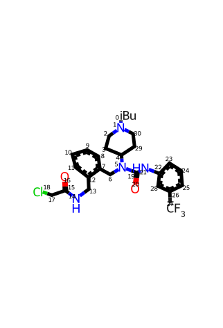 CCC(C)N1CCC(N(Cc2ccccc2CNC(=O)CCl)C(=O)Nc2cccc(C(F)(F)F)c2)CC1